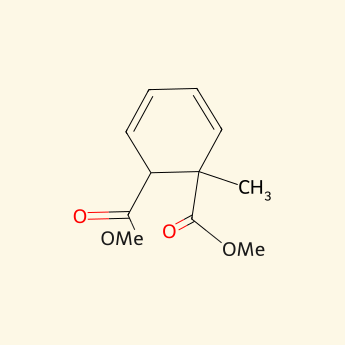 COC(=O)C1C=CC=CC1(C)C(=O)OC